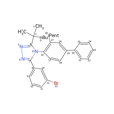 CCCCC(C)(C)c1nnc(-c2cccc(Br)c2)n1-c1ccc(-c2ccccc2)cc1C(C)CCC